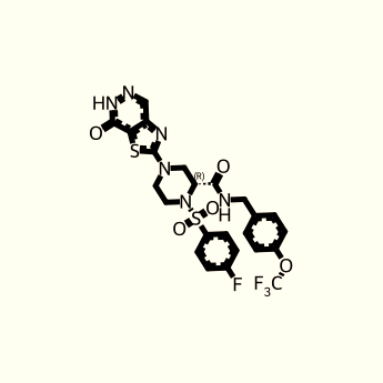 O=C(NCc1ccc(OC(F)(F)F)cc1)[C@H]1CN(c2nc3cn[nH]c(=O)c3s2)CCN1S(=O)(=O)c1ccc(F)cc1